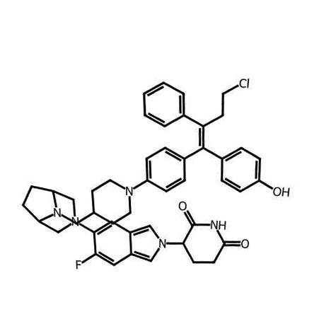 O=C1CCC(n2cc3cc(F)c(N4CC5CCC(C4)N5CC4CCN(c5ccc(C(=C(CCCl)c6ccccc6)c6ccc(O)cc6)cc5)CC4)cc3c2)C(=O)N1